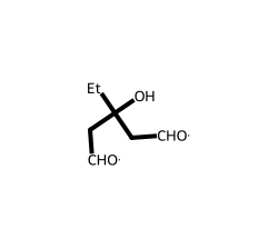 CCC(O)(C[C]=O)C[C]=O